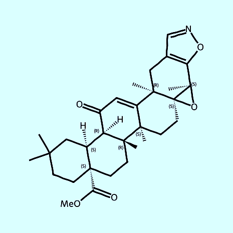 COC(=O)[C@]12CCC(C)(C)C[C@H]1[C@H]1C(=O)C=C3[C@@]4(C)Cc5cnoc5[C@@]5(C)O[C@@]45CC[C@@]3(C)[C@]1(C)CC2